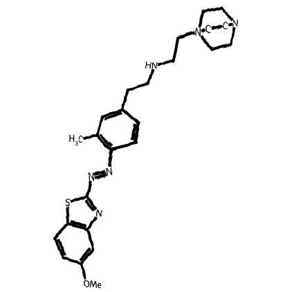 COc1ccc2sc(N=Nc3ccc(CCNCC[N+]45CCN(CC4)CC5)cc3C)nc2c1